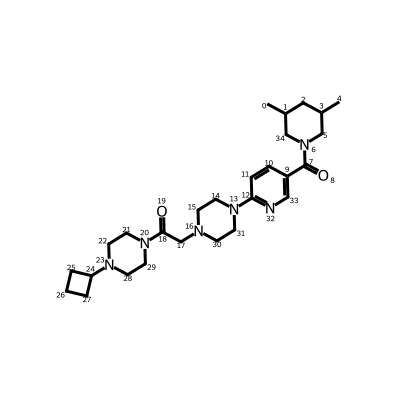 CC1CC(C)CN(C(=O)c2ccc(N3CCN(CC(=O)N4CCN(C5CCC5)CC4)CC3)nc2)C1